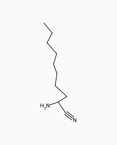 CCCCCCCCC(N)C#N